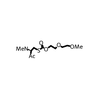 CN[C@@H](CSC(=O)OCCOCCOC)C(C)=O